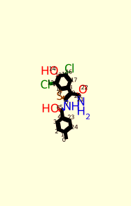 Cc1ccc(C(O)Nc2sc3c(Cl)c(O)c(Cl)cc3c2C(N)=O)cc1